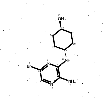 Nc1ncc(Br)nc1N[C@H]1CC[C@H](O)CC1